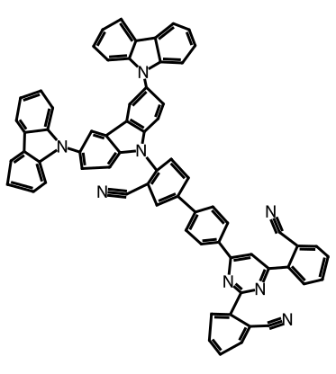 N#Cc1ccccc1-c1cc(-c2ccc(-c3ccc(-n4c5ccc(-n6c7ccccc7c7ccccc76)cc5c5cc(-n6c7ccccc7c7ccccc76)ccc54)c(C#N)c3)cc2)nc(-c2ccccc2C#N)n1